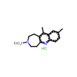 CCOC(=O)N1CCc2nc3ccc(C)cc3c(C)c2CC1.Cl